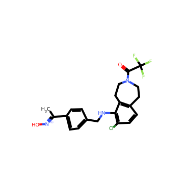 C/C(=N\O)c1ccc(CNc2c(Cl)ccc3c2CCN(C(=O)C(F)(F)F)CC3)cc1